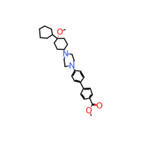 COC(=O)c1ccc(-c2ccc(N3CCN([C@H]4CC[C@](OC)(C5CCCCC5)CC4)CC3)cc2)cc1